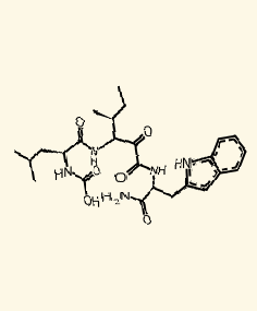 CC[C@H](C)C(NC(=O)[C@H](CC(C)C)NC(=O)O)C(=O)C(=O)NC(Cc1cc2ccccc2[nH]1)C(N)=O